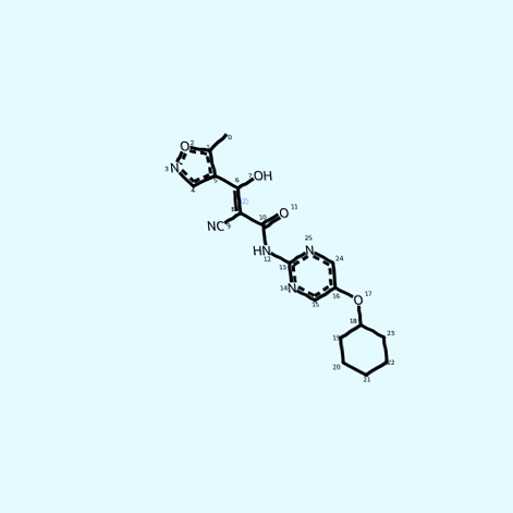 Cc1oncc1/C(O)=C(\C#N)C(=O)Nc1ncc(OC2CCCCC2)cn1